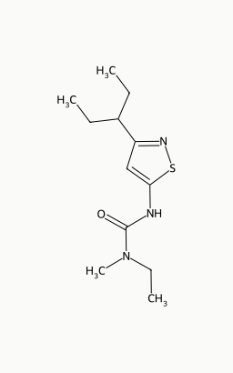 CCC(CC)c1cc(NC(=O)N(C)CC)sn1